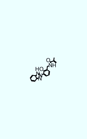 C=C(C)C(=O)NCc1cccc(-n2nc3ccccc3n2)c1O